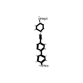 CCCCCCC[C@H]1CC[C@H](C#Cc2ccc(-c3ccc(CCCCCC)cc3)cc2)CC1